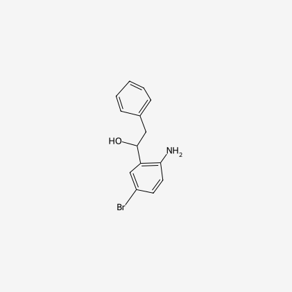 Nc1ccc(Br)cc1C(O)Cc1ccccc1